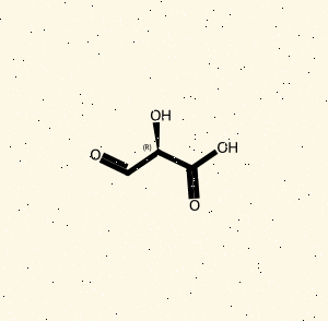 O=C[C@@H](O)C(=O)O